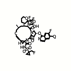 COc1cc2ccnc(O[C@@H]3C[C@H]4C(=O)N[C@]5(C(=O)NS(=O)(=O)C6(CF)CC6)C[C@H]5C=CCC[C@@H](C)C[C@@H](C)[C@H](N(C(=O)O)C5(C(F)(F)F)CCCCO5)C(=O)N4C3)c2cc1F